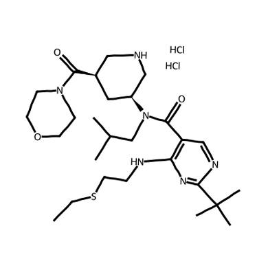 CCSCCNc1nc(C(C)(C)C)ncc1C(=O)N(CC(C)C)[C@@H]1CNC[C@H](C(=O)N2CCOCC2)C1.Cl.Cl